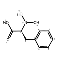 O=C(O)[C@H](Cc1ccccc1)N(O)O